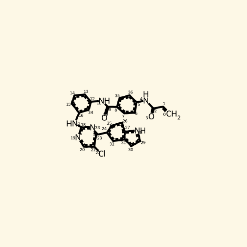 C=CC(=O)Nc1ccc(C(=O)Nc2cccc(Nc3ncc(Cl)c(-c4ccc5[nH]ccc5c4)n3)c2)cc1